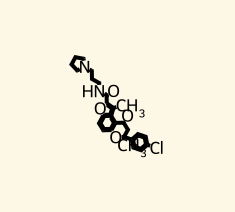 Cc1c(C(=O)NCCCN2CCCC2)oc2ccc3c(c12)C(=O)CC(C)(c1ccc(Cl)cc1)O3